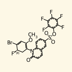 COC1=C(n2c(=O)ccc3cc(S(=O)(=O)Oc4c(F)c(F)c(F)c(F)c4F)ccc32)C[C@@H](F)C(Br)=C1